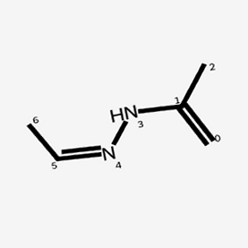 C=C(C)N/N=C\C